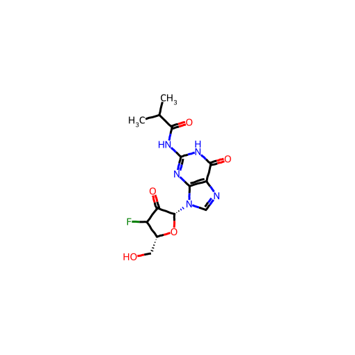 CC(C)C(=O)Nc1nc2c(ncn2[C@@H]2O[C@H](CO)C(F)C2=O)c(=O)[nH]1